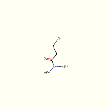 CCCCN(CCCC)C(=O)CC[O]